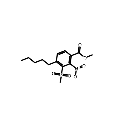 CCCCCc1ccc(C(=O)OC)c([N+](=O)[O-])c1S(C)(=O)=O